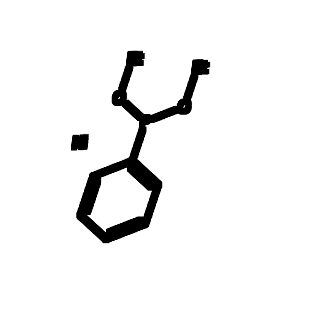 CCOP(OCC)c1ccccc1.[Ni]